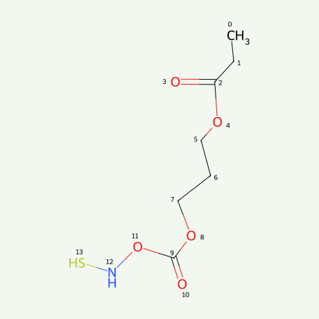 CCC(=O)OCCCOC(=O)ONS